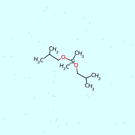 CC(C)CO[Si](C)(C)OCC(C)C